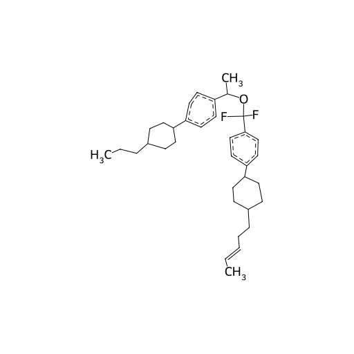 C/C=C/CCC1CCC(c2ccc(C(F)(F)OC(C)c3ccc(C4CCC(CCC)CC4)cc3)cc2)CC1